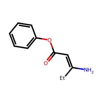 CC/C(N)=C\C(=O)Oc1ccccc1